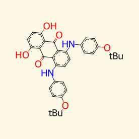 CC(C)(C)Oc1ccc(Nc2ccc(Nc3ccc(OC(C)(C)C)cc3)c3c2C(=O)c2c(O)ccc(O)c2C3=O)cc1